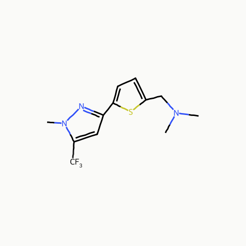 CN(C)Cc1ccc(-c2cc(C(F)(F)F)n(C)n2)s1